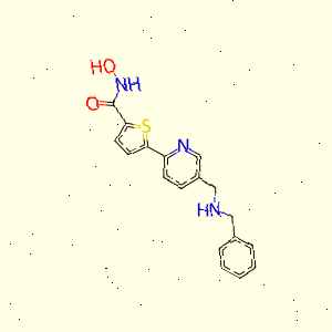 O=C(NO)c1ccc(-c2ccc(CNCc3ccccc3)cn2)s1